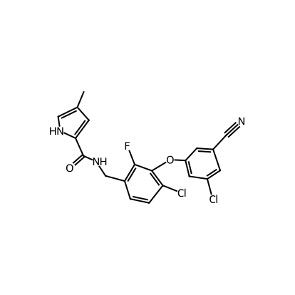 Cc1c[nH]c(C(=O)NCc2ccc(Cl)c(Oc3cc(Cl)cc(C#N)c3)c2F)c1